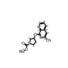 CC(C)(C)OC(=O)N1CCC(Oc2nc(C#N)cc3cccnc23)C1